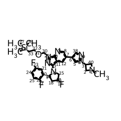 CN1CC(n2cc(-c3cnc4c(c3)c(N3C[C@@H](F)C[C@@H]3c3cc(F)ccc3F)nn4COCC[Si](C)(C)C)cn2)C1